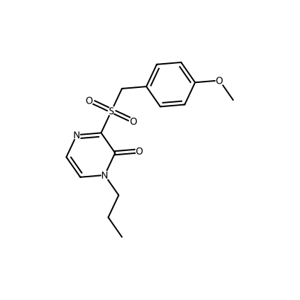 CCCn1ccnc(S(=O)(=O)Cc2ccc(OC)cc2)c1=O